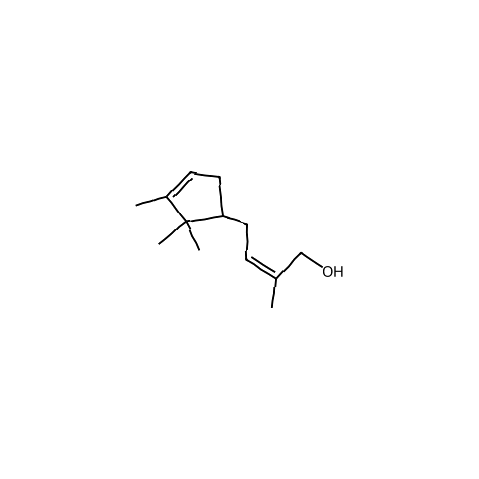 CC(=CCC1CC=C(C)C1(C)C)CO